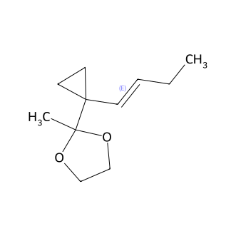 CC/C=C/C1(C2(C)OCCO2)CC1